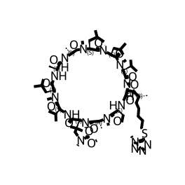 CC[C@@H]1NC(=O)[C@@H]2[C@@H]([C@H](C)CCCCCSc3nnnn3C)ON2C(=O)[C@H](C(C)C)N(C)C(=O)[C@H](CC(C)C)N(C)C(=O)[C@H](CC(C)C)N(C)C(=O)[C@@H](C)NC(=O)[C@H](C)NC(=O)[C@H](CC(C)C)N(C)C(=O)[C@H](C(C)C)NC(=O)[C@H](C(C)(C)CN(C)C(=O)OC)N(C)C(=O)[C@@H](C)N(C)C1=O